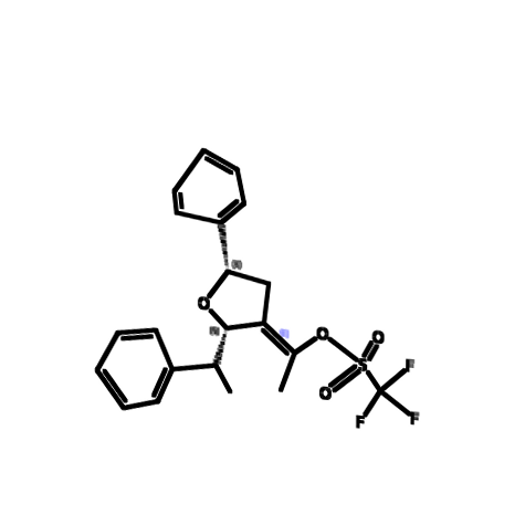 C/C(OS(=O)(=O)C(F)(F)F)=C1/C[C@@H](c2ccccc2)O[C@H]1C(C)c1ccccc1